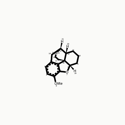 COc1ccc2c3c1O[C@H]1CCC[C@H]4[C@@H](C2)NCC[C@]314